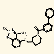 NC1=N[S+]([O-])Nc2cccc(OCC3CCCN(C(=O)c4cccc(-c5ccccc5)c4)C3)c21